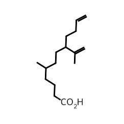 C=CCCC(CCC(C)CCCC(=O)O)C(=C)C